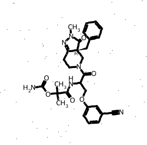 CN1N=C2CCN(C(=O)C(COc3cccc(C#N)c3)NC(=O)C(C)(C)OC(N)=O)C[C@@]2(Cc2ccccc2)C1=O